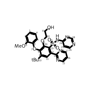 COc1ccccc1Oc1c(C(C)(C)C)cc(-c2ncccn2)c(S(=O)(=O)Nc2ccncn2)c1OCCO